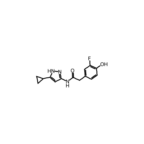 O=C(Cc1ccc(O)c(F)c1)Nc1cc(C2CC2)[nH]n1